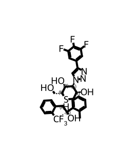 Cc1ccccc1[C@@](C)(O)[C@@H](c1ccccc1C(F)(F)F)[SH]1C[C@H](O)[C@H](n2cc(-c3cc(F)c(F)c(F)c3)nn2)[C@@H](O)[C@H]1CO